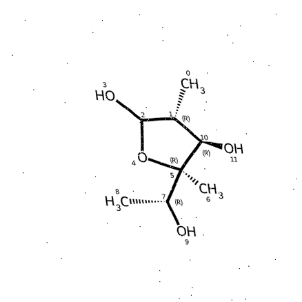 C[C@H]1C(O)O[C@](C)([C@@H](C)O)[C@@H]1O